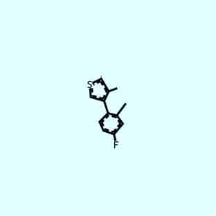 Cc1[c]scc1-c1ccc(F)cc1C